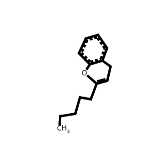 CCCCCC1=CCc2ccccc2O1